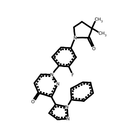 CC1(C)CCN(c2ccc(-n3ccc(=O)c(-c4ccnn4-c4ccccc4)n3)c(F)c2)C1=O